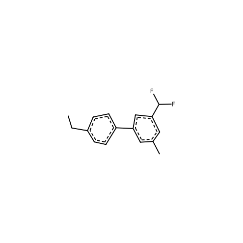 CCc1ccc(-c2cc(C)cc(C(F)F)c2)cc1